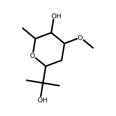 COC1CC(C(C)(C)O)OC(C)C1O